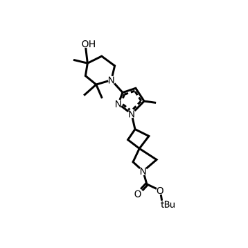 Cc1cc(N2CCC(C)(O)CC2(C)C)nn1C1CC2(C1)CN(C(=O)OC(C)(C)C)C2